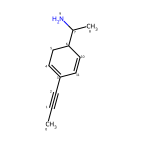 CC#CC1=CCC(C(C)N)C=C1